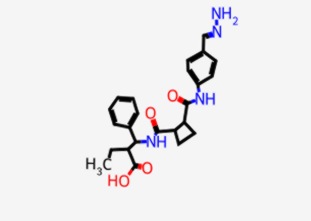 CCC(C(=O)O)C(NC(=O)C1CCC1C(=O)Nc1ccc(C=NN)cc1)c1ccccc1